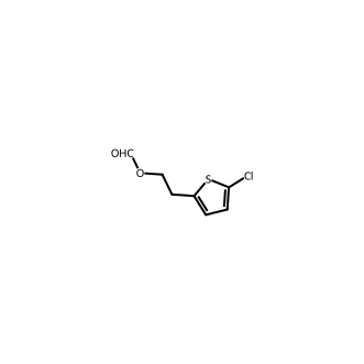 O=COCCc1ccc(Cl)s1